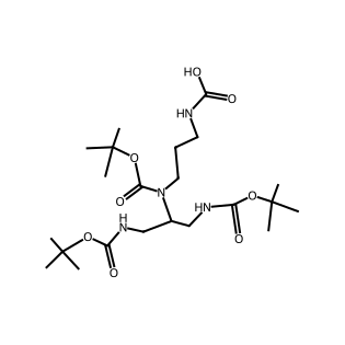 CC(C)(C)OC(=O)NCC(CNC(=O)OC(C)(C)C)N(CCCNC(=O)O)C(=O)OC(C)(C)C